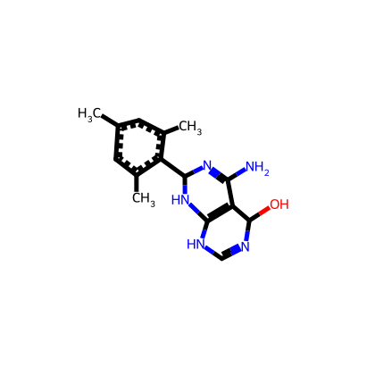 Cc1cc(C)c(C2N=C(N)C3=C(NC=NC3O)N2)c(C)c1